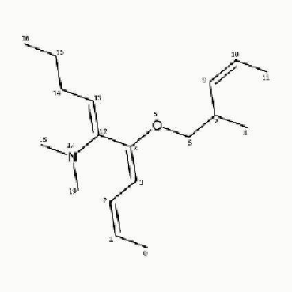 C\C=C/C=C(OCC(C)/C=C\C)\C(=C\CCC)N(C)C